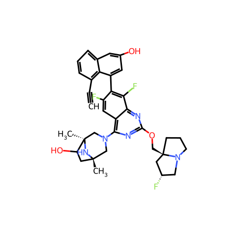 C#Cc1cccc2cc(O)cc(-c3c(F)cc4c(N5C[C@]6(C)CC(O)[C@@](C)(C5)N6)nc(OC[C@@]56CCCN5C[C@H](F)C6)nc4c3F)c12